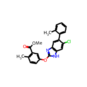 COC(=O)c1cc(Oc2nc3cc(-c4ccccc4C)c(Cl)cc3[nH]2)ccc1C